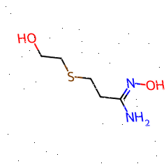 NC(CCSCCO)=NO